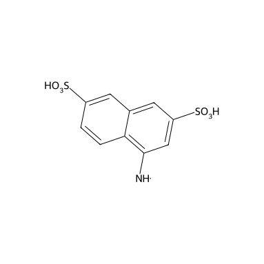 [NH]c1cc(S(=O)(=O)O)cc2cc(S(=O)(=O)O)ccc12